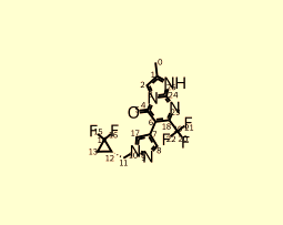 Cc1cn2c(=O)c(-c3cnn(C[C@@H]4CC4(F)F)c3)c(C(F)(F)F)nc2[nH]1